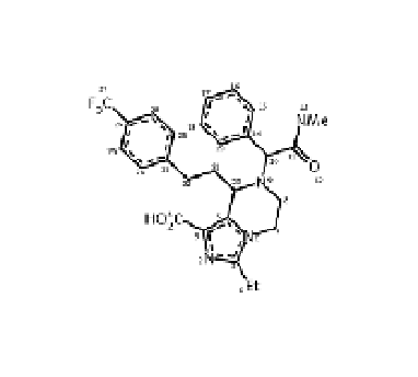 CCc1nc(C(=O)O)c2n1CCN(C(C(=O)NC)c1ccccc1)C2CCc1ccc(C(F)(F)F)cc1